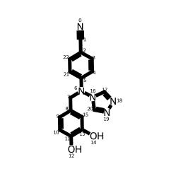 N#Cc1ccc(N(Cc2ccc(O)c(O)c2)n2cnnc2)cc1